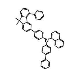 CC1(C)c2ccc(-c3ccc(N(c4ccc(-c5ccccc5)cc4)c4cccc5ccccc45)cc3)cc2-c2c(-c3ccccc3)cccc21